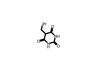 CC(C)CC1C(=O)NC(=O)NC1=O